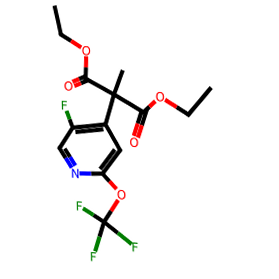 CCOC(=O)C(C)(C(=O)OCC)c1cc(OC(F)(F)F)ncc1F